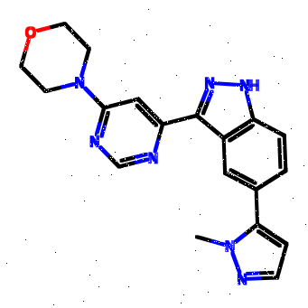 Cn1nccc1-c1ccc2[nH]nc(-c3cc(N4CCOCC4)ncn3)c2c1